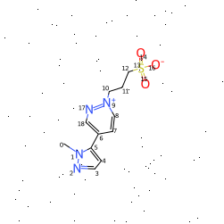 Cn1nccc1-c1cc[n+](CCCS(=O)(=O)[O-])nc1